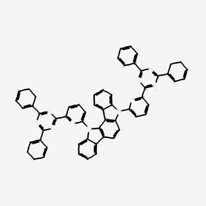 C1=CCCC(c2nc(C3=CCCC=C3)nc(-c3cccc(-n4c5ccccc5c5ccc6c(c7ccccc7n6-c6cccc(-c7nc(C8=CC=CCC8)nc(-c8ccccc8)n7)n6)c54)n3)n2)=C1